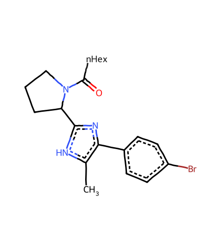 CCCCCCC(=O)N1CCCC1c1nc(-c2ccc(Br)cc2)c(C)[nH]1